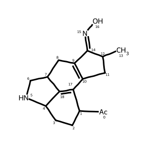 CC(=O)C1CCC2NCC3CC4=C(CC(C)C4=NO)C1=C32